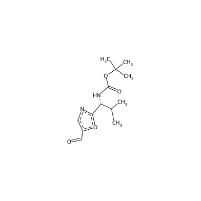 CC(C)[C@@H](NC(=O)OC(C)(C)C)c1ncc(C=O)o1